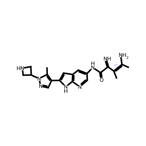 C/C(N)=C(\C)C(=N)C(=O)Nc1cnc2[nH]c(-c3cnn(C4CNC4)c3C)cc2c1